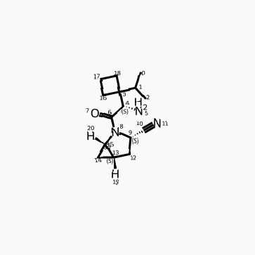 CC(C)C1([C@H](N)C(=O)N2[C@H](C#N)C[C@@H]3C[C@@H]32)CCC1